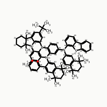 Cc1cc2c3c(c1)N1c4c(cc(C(C)(C)C)cc4C4(C)CCCCC14C)B3c1ccc(N(c3ccc4c(c3)C(C)(C)CCC4(C)C)c3cccc4c3sc3ccccc34)cc1N2c1cc2c(cc1-c1ccccc1)C(C)(C)CCC2(C)C